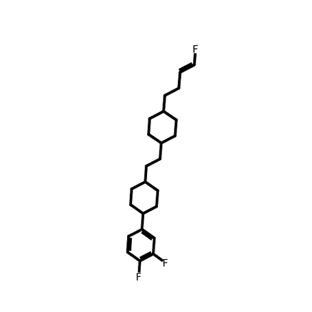 FC=CCCC1CCC(CCC2CCC(c3ccc(F)c(F)c3)CC2)CC1